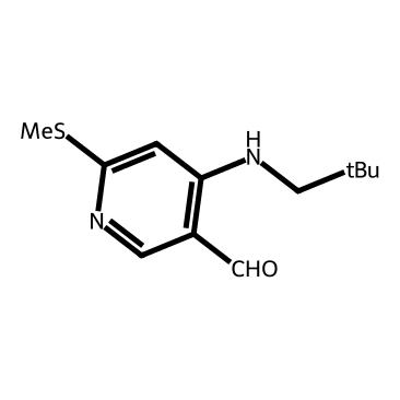 CSc1cc(NCC(C)(C)C)c(C=O)cn1